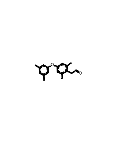 Cc1cc(C)cc(Oc2cc(C)c(CC=O)c(C)c2)c1